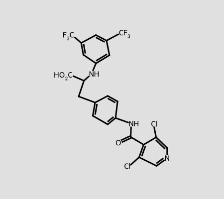 O=C(Nc1ccc(CC(Nc2cc(C(F)(F)F)cc(C(F)(F)F)c2)C(=O)O)cc1)c1c(Cl)cncc1Cl